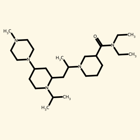 CCN(CC)C(=O)C1CCCN(C(C)CC2CC(N3CCN(C)CC3)CCN2C(C)C)C1